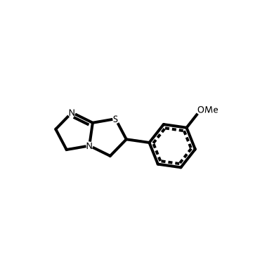 COc1cccc(C2CN3CCN=C3S2)c1